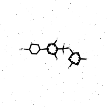 CCCC1CCC(c2cc(F)c(C(F)(F)Oc3cc(F)cc(F)c3)c(F)c2)CC1